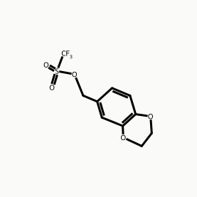 O=S(=O)(OCc1ccc2c(c1)OCCO2)C(F)(F)F